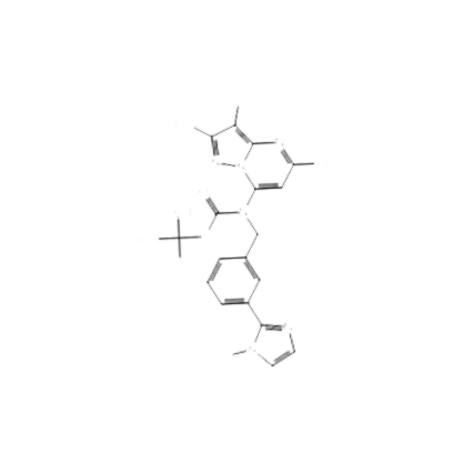 Cc1nn2c(N(Cc3cccc(-c4nccn4C)c3)C(=O)OC(C)(C)C)cc(Cl)nc2c1C